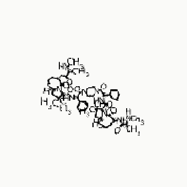 CN[C@@H](C)C(=O)C[C@H]1CCS[C@H]2CC(C)(C)[C@@H](C(=O)N[C@H](C(=O)N3CCN(C(=O)[C@@H](NC(=O)[C@H]4N5C(=O)[C@@H](NC(=O)[C@H](C)NC)CCS[C@H]5CC4(C)C)c4ccccc4)CC3)c3ccccc3)N2C1=O